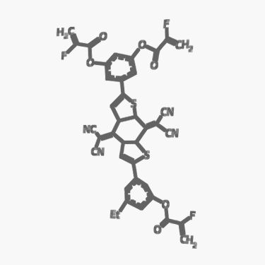 C=C(F)C(=O)Oc1cc(CC)cc(C2=CC3C(=C(C#N)C#N)C4C=C(c5cc(OC(=O)C(=C)F)cc(OC(=O)C(=C)F)c5)SC4C(=C(C#N)C#N)C3S2)c1